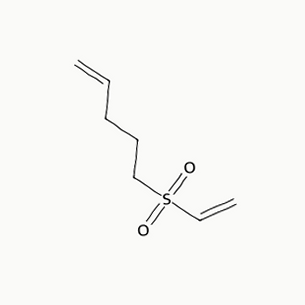 C=CCCCS(=O)(=O)C=C